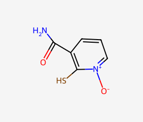 NC(=O)c1ccc[n+]([O-])c1S